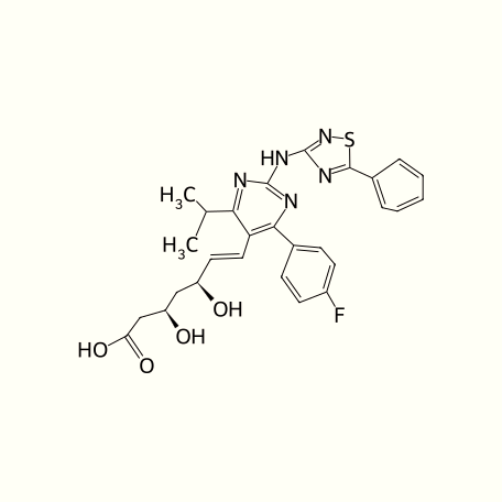 CC(C)c1nc(Nc2nsc(-c3ccccc3)n2)nc(-c2ccc(F)cc2)c1/C=C/[C@@H](O)C[C@@H](O)CC(=O)O